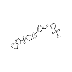 O=S(=O)(c1cccc(OC[C@@H](O)CN[C@H]2COC3(CCN(S(=O)(=O)c4cnc5c(c4)CCCO5)CC3)C2)c1)C1CC1